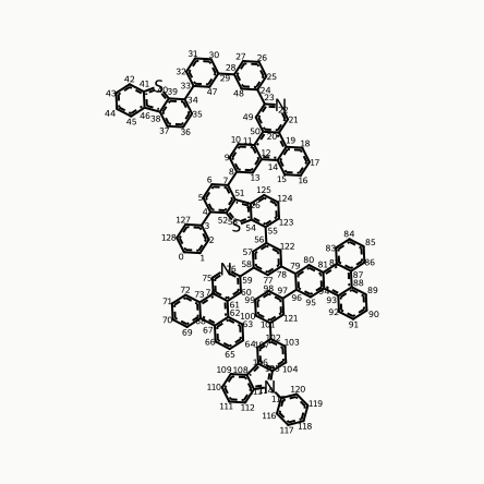 c1ccc(-c2ccc(-c3ccc4c(c3)c3ccccc3c3cnc(-c5cccc(-c6cccc(-c7cccc8c7sc7ccccc78)c6)c5)cc43)c3c2sc2c(-c4cc(-c5cc6c7ccccc7c7ccccc7c6cn5)cc(-c5cc6c7ccccc7c7ccccc7c6cc5-c5cccc(-c6ccc7c(c6)c6ccccc6n7-c6ccccc6)c5)c4)cccc23)cc1